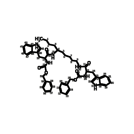 CCCCC(CCCCCNC(=O)C(Cc1c[nH]c2ccccc12)NC(=O)OCc1ccccc1)NC(=O)C(Cc1c[nH]c2ccccc12)NC(=O)OCc1ccccc1